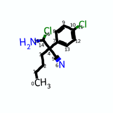 CCCCC(C#N)(c1ccc(Cl)cc1)C(N)Cl